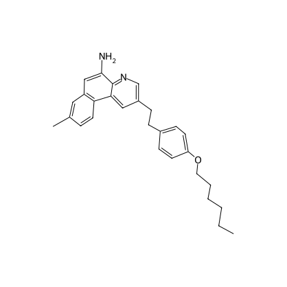 CCCCCCOc1ccc(CCc2cnc3c(N)cc4cc(C)ccc4c3c2)cc1